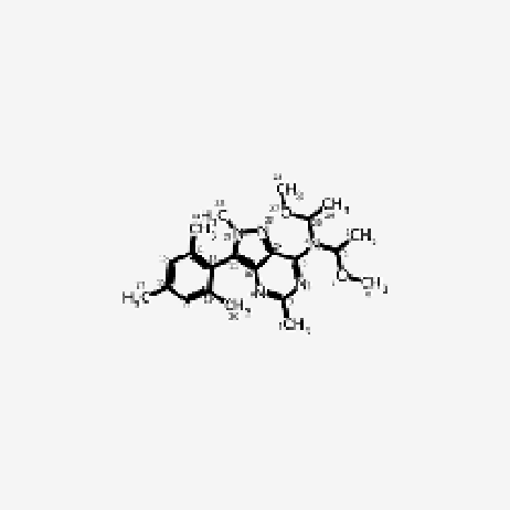 COC(C)N(c1nc(C)nc2c(-c3c(C)cc(C)cc3C)n(C)nc12)C(C)OC